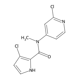 CN(C(=O)c1[nH]ccc1Cl)c1ccnc(Cl)c1